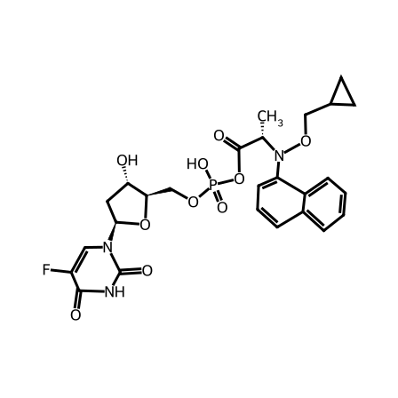 C[C@@H](C(=O)OP(=O)(O)OC[C@H]1O[C@@H](n2cc(F)c(=O)[nH]c2=O)C[C@@H]1O)N(OCC1CC1)c1cccc2ccccc12